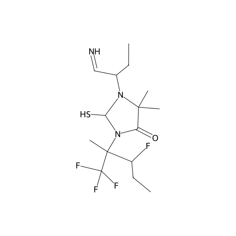 CCC(C=N)N1C(S)N(C(C)(C(F)CC)C(F)(F)F)C(=O)C1(C)C